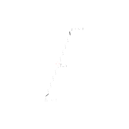 CCCCCCCCC=CCCCCCCCCOCCCCCCCCC=CCCCCCCCC.[Na]